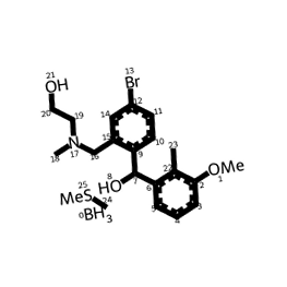 B.COc1cccc(C(O)c2ccc(Br)cc2CN(C)CCO)c1C.CSC